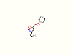 Cc1cc(COc2cc[c]cc2)on1